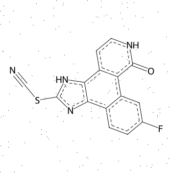 N#CSc1nc2c3ccc(F)cc3c3c(=O)[nH]ccc3c2[nH]1